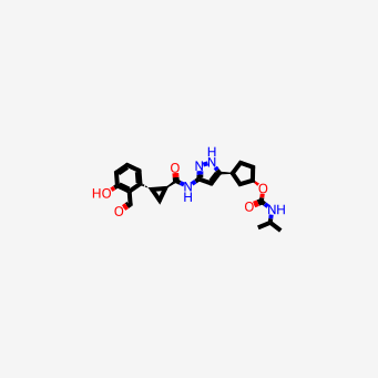 CC(C)NC(=O)O[C@@H]1CC[C@H](c2cc(NC(=O)[C@H]3C[C@@H]3c3cccc(O)c3C=O)n[nH]2)C1